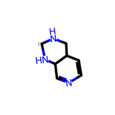 [C]1NCC2C=CN=CC2N1